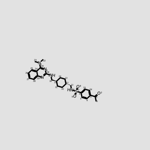 CC(=O)c1ccc(S(=O)(=O)NC[C@H]2CC[C@H](CNc3nc(N(C)C)c4ccccc4n3)CC2)cc1